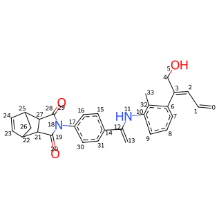 C=C/C=C(/CO)c1cccc(NC(=C)c2ccc(N3C(=O)C4C5C=CC(C5)C4C3=O)cc2)c1C